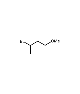 [CH2]C(CC)CCOC